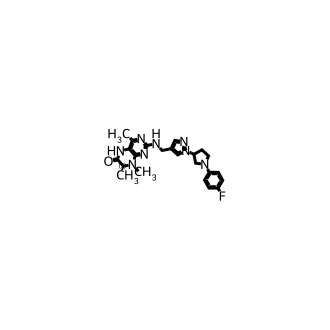 Cc1nc(NCc2cnn(C3CCN(c4ccc(F)cc4)C3)c2)nc2c1NC(=O)[C@H](C)N2C